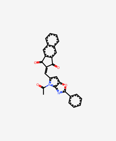 CC(=O)n1c(C=C2C(=O)c3cc4ccccc4cc3C2=O)cc2oc(-c3ccccc3)nc21